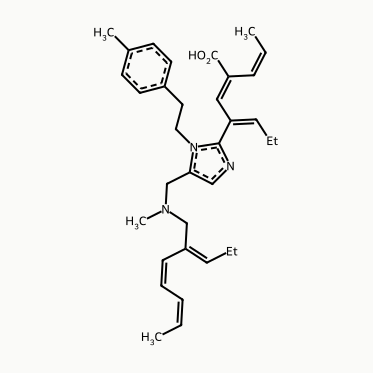 C\C=C/C=C\C(=C\CC)CN(C)Cc1cnc(C(=C\CC)/C=C(\C=C/C)C(=O)O)n1CCc1ccc(C)cc1